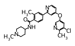 Cc1cc(-c2cc(Oc3cnc(C)c(Cl)c3)ccn2)ccc1C(=O)NC1CCN(C)CC1